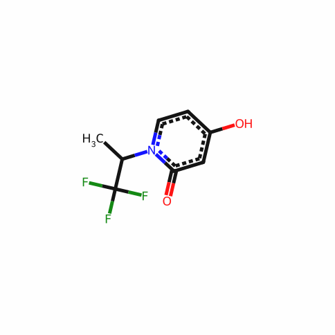 CC(n1ccc(O)cc1=O)C(F)(F)F